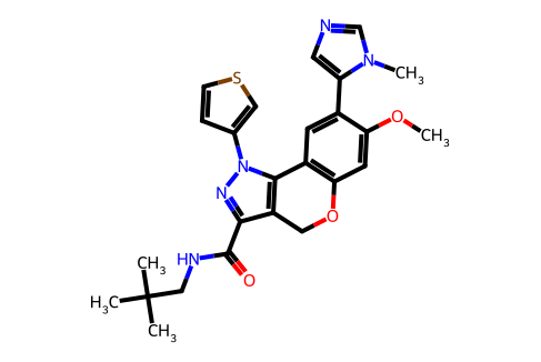 COc1cc2c(cc1-c1cncn1C)-c1c(c(C(=O)NCC(C)(C)C)nn1-c1ccsc1)CO2